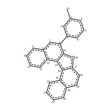 Cc1cccc(-c2cc3ccccc3c3c2oc2ccc4ccccc4c23)c1